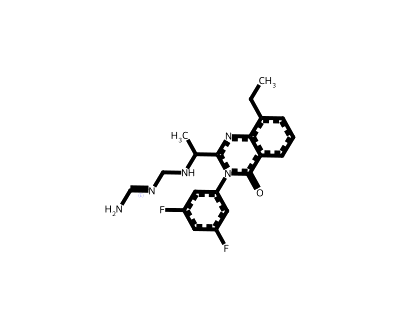 CCc1cccc2c(=O)n(-c3cc(F)cc(F)c3)c(C(C)NC/N=C/N)nc12